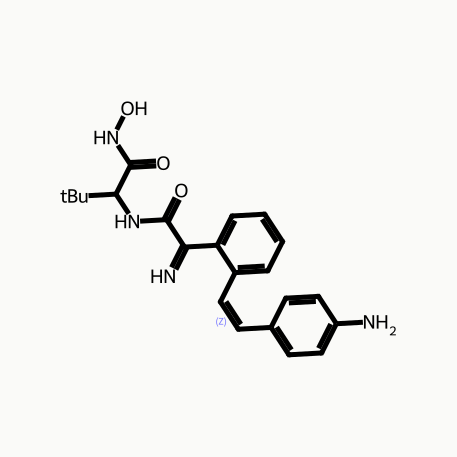 CC(C)(C)C(NC(=O)C(=N)c1ccccc1/C=C\c1ccc(N)cc1)C(=O)NO